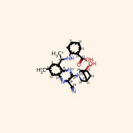 Cc1cc([C@@H](C)Nc2ccccc2C(=O)O)c2nc(N3CC4CCC3C(O)C4)c(C#N)nc2c1